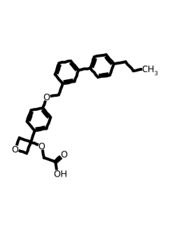 CCCc1ccc(-c2cccc(COc3ccc(C4(OCC(=O)O)COC4)cc3)c2)cc1